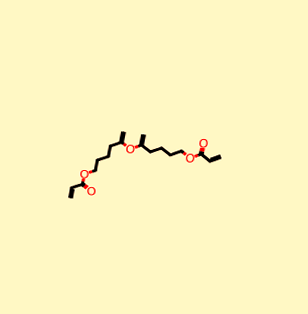 C=CC(=O)OCCCCC(=C)OC(=C)CCCCOC(=O)C=C